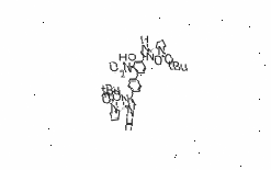 CC(C)(C)OC(=O)N1CCC[C@H]1c1nc(-c2ccc(-c3ccc(-c4c[nH]c([C@@H]5CCCN5C(=O)OC(C)(C)C)n4)c(O)c3[N+](=O)[O-])cc2)c[nH]1